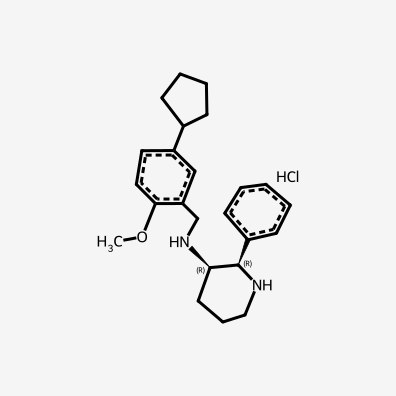 COc1ccc(C2CCCC2)cc1CN[C@@H]1CCCN[C@@H]1c1ccccc1.Cl